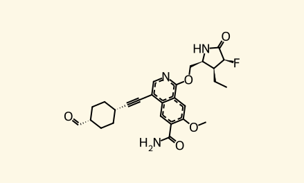 CC[C@@H]1[C@H](F)C(=O)N[C@@H]1COc1ncc(C#C[C@H]2CC[C@@H](C=O)CC2)c2cc(C(N)=O)c(OC)cc12